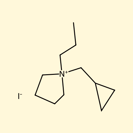 CCC[N+]1(CC2CC2)CCCC1.[I-]